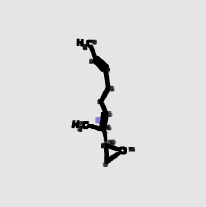 CC#CCC/C=C(\C)[C@H]1CO1